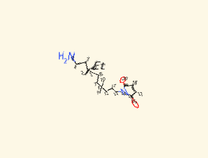 CCC(C)(CCN)CCC(C)(C)CCCN1C(=O)C=CC1=O